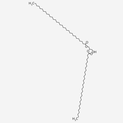 CCCCCCCCCCCCCCCCCCCCCCCCCCCCCCCC(=O)OCC(CO)OC(=O)CCCCCCCCCCCCCCCCCCCCCCCCCCCCCCC